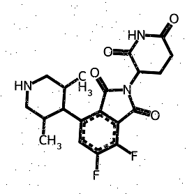 CC1CNCC(C)C1c1cc(F)c(F)c2c1C(=O)N(C1CCC(=O)NC1=O)C2=O